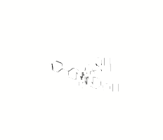 O=C(NO)[C@H]1C[C@@H](O)CCN1S(=O)(=O)N1CC=C(c2ccc(F)cc2)CC1